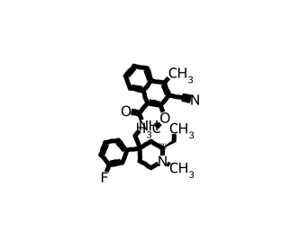 CC[C@@H]1CC(CNC(=O)c2c(OC)c(C#N)c(C)c3ccccc23)(c2cccc(F)c2)CCN1C